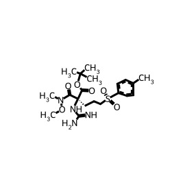 CON(C)C(=O)[C@](CCCS(=O)(=O)c1ccc(C)cc1)(NC(=N)N)C(=O)OC(C)(C)C